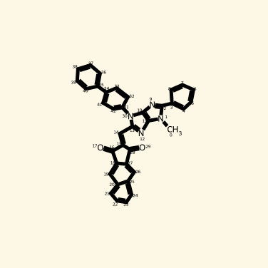 Cn1c(-c2ccccc2)nc2c1nc(C=C1C(=O)c3cc4ccccc4cc3C1=O)n2-c1ccc(-c2ccccc2)cc1